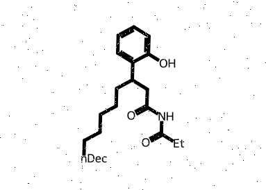 CCCCCCCCCCCCCCCC(CC(=O)NC(=O)CC)c1ccccc1O